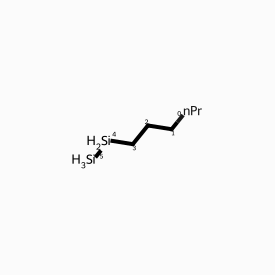 C[CH]CCCC[SiH2][SiH3]